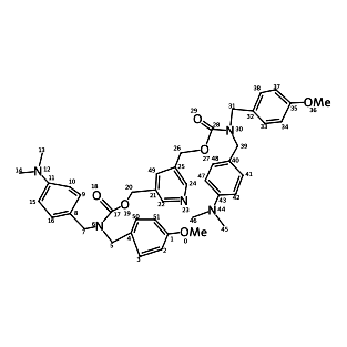 COc1ccc(CN(Cc2ccc(N(C)C)cc2)C(=O)OCc2cncc(COC(=O)N(Cc3ccc(OC)cc3)Cc3ccc(N(C)C)cc3)c2)cc1